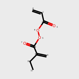 C=CC(=O)OOC(=O)C(=C)CC